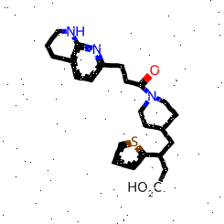 O=C(O)CC(CC1CCN(C(=O)CCc2ccc3c(n2)NCCC3)CC1)c1cccs1